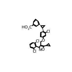 O=C(O)c1cccc([C@@H]2C[C@H]2c2ccc(OCc3c(-c4c(Cl)cccc4Cl)noc3C3CC3)cc2Cl)c1